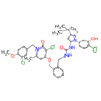 COc1ccc(Cn2c(C)cc(OCc3ccccc3CNC(=O)Nc3cc(C(C)(C)C)nn3-c3ccc(Cl)c(O)c3)c(Cl)c2=O)cc1Cl